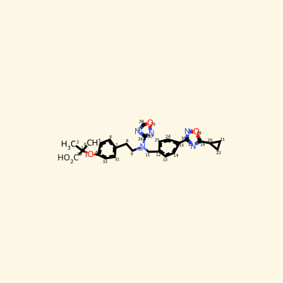 CC(C)(Oc1ccc(CCN(Cc2ccc(-c3noc(C4CC4)n3)cc2)c2ncon2)cc1)C(=O)O